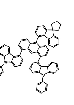 c1ccc(-n2c3ccccc3c3c(-c4cccc5c(-c6cccc7c6-c6ccccc6C76CCCC6)c6cccc(-c7cccc8c7c7ccccc7n8-c7ccccc7)c6cc45)cccc32)cc1